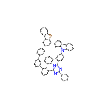 c1ccc(-c2cccc(-c3cccc(-c4nc(-c5ccccc5)nc(-c5ccc(-n6c7ccccc7c7ccc(-c8cccc9c8sc8ccccc89)cc76)cc5-c5ccccc5)n4)c3)c2)cc1